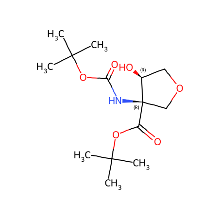 CC(C)(C)OC(=O)N[C@]1(C(=O)OC(C)(C)C)COC[C@@H]1O